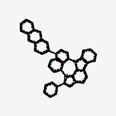 c1ccc(-c2cc3ccc4c5ccccc5n(-c5ccc(-c6ccc7cc8ccccc8cc7c6)cc5)c4c3n2-c2ccccc2)cc1